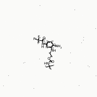 CC(C)(C)NC(=O)OCCNc1nc(NC(=O)C(F)(F)F)ccc1N